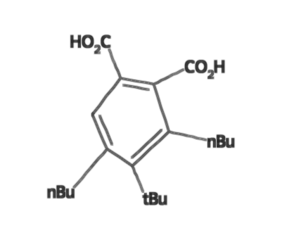 CCCCc1cc(C(=O)O)c(C(=O)O)c(CCCC)c1C(C)(C)C